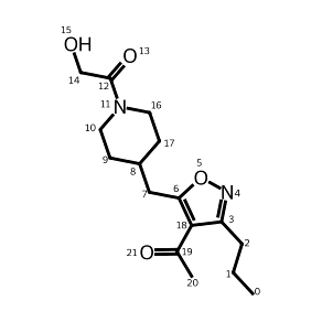 CCCc1noc(CC2CCN(C(=O)CO)CC2)c1C(C)=O